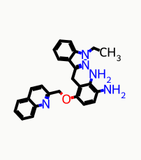 CCn1nc(Cc2c(OCc3ccc4ccccc4n3)ccc(N)c2N)c2ccccc21